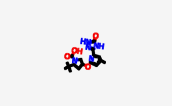 Cc1cc(OC2CC(C(C)(C)C)N(C(=O)O)C2)nc(-c2n[nH]c(=O)[nH]2)c1